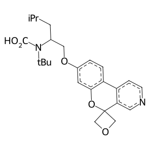 CC(C)CC(COc1ccc2c(c1)OC1(COC1)c1cnccc1-2)N(C(=O)O)C(C)(C)C